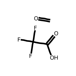 C=O.O=C(O)C(F)(F)F